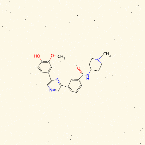 COc1cc(-c2cncc(-c3cccc(C(=O)NC4CCN(C)CC4)c3)n2)ccc1O